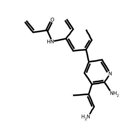 C=CC(=O)N/C(C=C)=C/C(=C\C)c1cnc(N)c(/C(C)=C/N)c1